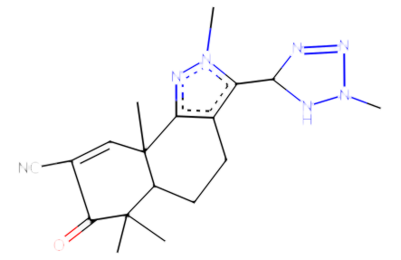 CN1N=NC(c2c3c(nn2C)C2(C)C=C(C#N)C(=O)C(C)(C)C2CC3)N1